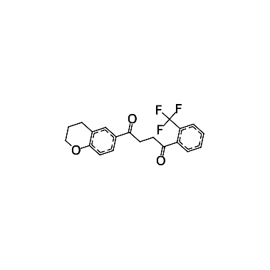 O=C(CCC(=O)c1ccccc1C(F)(F)F)c1ccc2c(c1)CCCO2